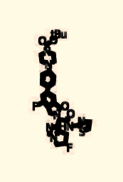 CC(C)(C)OC(=O)N1CCN(c2ccc(-c3cc(F)c4c(c3)C(=O)N(C(C(=O)Nc3nccs3)c3ncn5c3C[C@@H](F)C5)C4)cc2)CC1